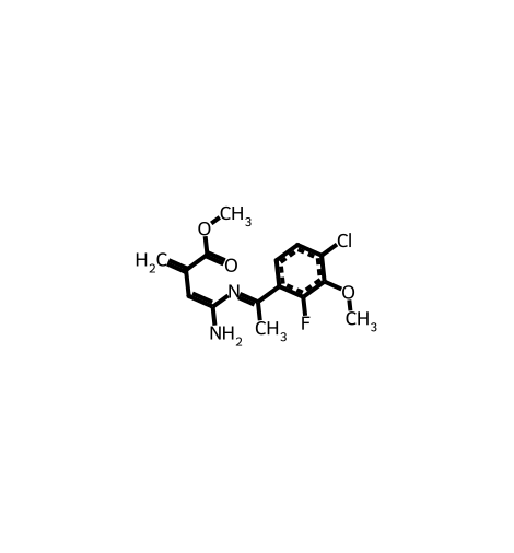 C=C(/C=C(N)\N=C(/C)c1ccc(Cl)c(OC)c1F)C(=O)OC